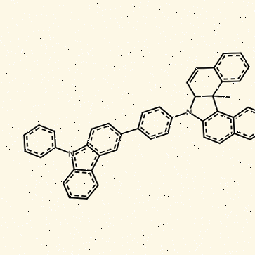 CC12c3ccccc3C=CC1N(c1ccc(-c3ccc4c(c3)c3ccccc3n4-c3ccccc3)cc1)c1ccc3ccccc3c12